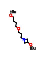 CC(C)(C)OCCCCOCCCN1CC(OC(C)(C)C)C1